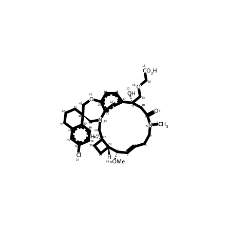 CO[C@H]1/C=C/CCN(C)C(=O)C[C@](O)(COCC(=O)O)c2ccc3c(c2)N(C[C@@H]2CC[C@H]21)C[C@@]1(CCCc2cc(Cl)ccc21)CO3